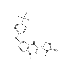 COc1ccc(Oc2ccc(C(F)(F)F)cn2)cc1NC(=O)[C@@H]1COC(=O)N1C